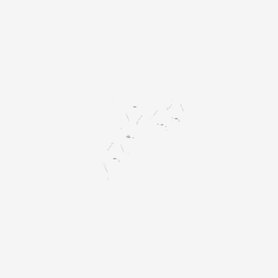 COc1ccc(-c2cnc3ccccc3c2)cc1CC(=O)c1ccc(C(=O)O)cc1